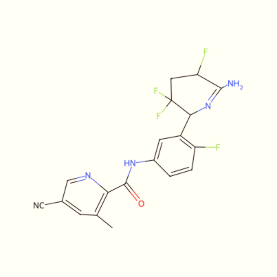 Cc1cc(C#N)cnc1C(=O)Nc1ccc(F)c(C2N=C(N)C(F)CC2(F)F)c1